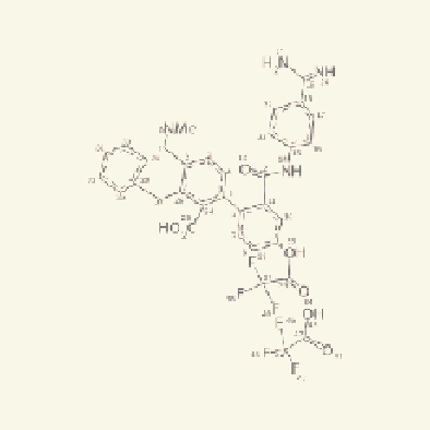 CNCc1ccc(-c2ccccc2C(=O)Nc2ccc(C(=N)N)cc2)c(C(=O)O)c1Cc1ccccc1.O=C(O)C(F)(F)F.O=C(O)C(F)(F)F